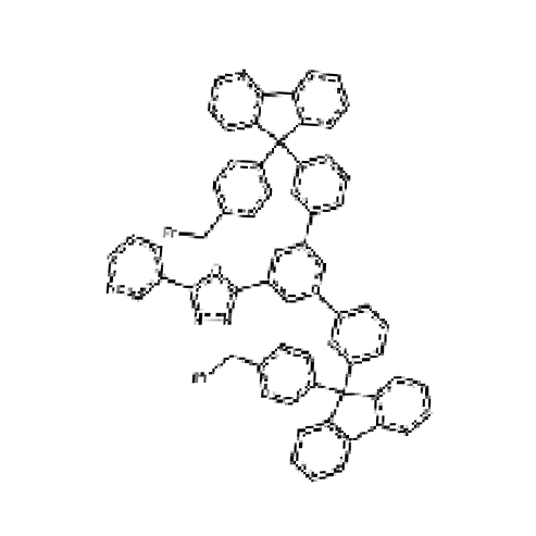 CC(C)Cc1ccc(C2(c3cccc(-c4cc(-c5cccc(C6(c7ccc(CC(C)C)cc7)c7ccccc7-c7ccccc76)c5)cc(-c5nnc(-c6cccnc6)o5)c4)c3)c3ccccc3-c3ccccc32)cc1